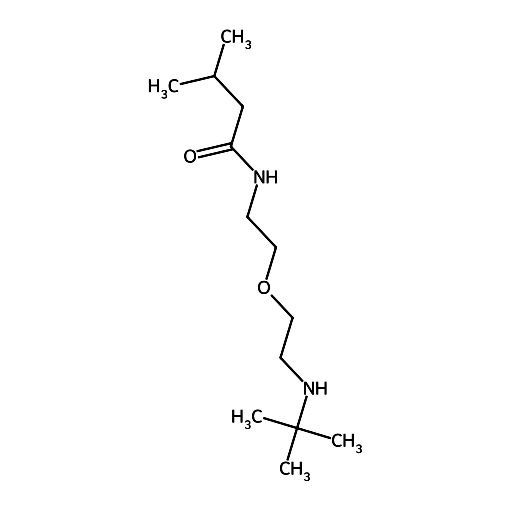 CC(C)CC(=O)NCCOCCNC(C)(C)C